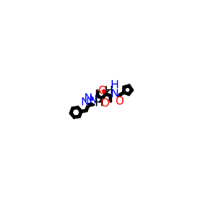 O=C(N[C@H]1CO[C@H]2[C@@H]1OC[C@@H]2n1cc(CC2CCCCC2)nn1)C1CCCC1